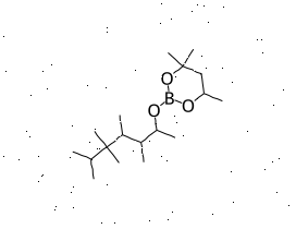 CC1CC(C)(C)OB(OC(C)C(C)C(C)C(C)(C)C(C)C)O1